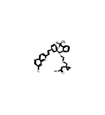 CC(C)(O)c1ccccc1[C@H](CCSCC1(CC(=O)O)CC1)c1cccc(/C=C/c2ccc3ccc(Cl)cc3n2)c1